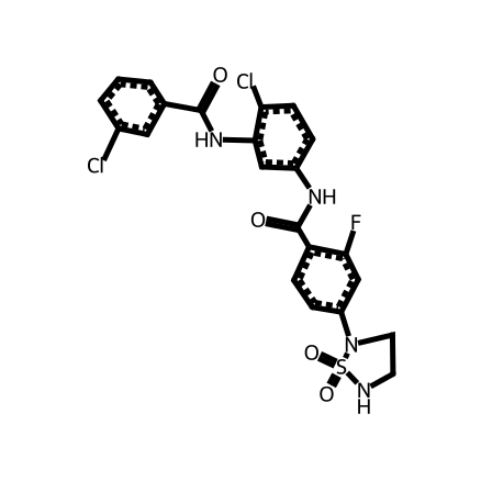 O=C(Nc1cc(NC(=O)c2ccc(N3CCNS3(=O)=O)cc2F)ccc1Cl)c1cccc(Cl)c1